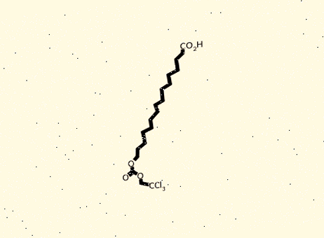 O=C(O)CCCCCCCCCCCCCCCOC(=O)OCC(Cl)(Cl)Cl